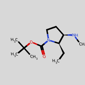 CC[C@@H]1[C@H](NC)CCN1C(=O)OC(C)(C)C